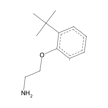 CC(C)(C)c1ccc[c]c1OCCN